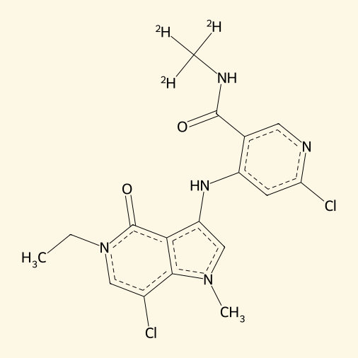 [2H]C([2H])([2H])NC(=O)c1cnc(Cl)cc1Nc1cn(C)c2c(Cl)cn(CC)c(=O)c12